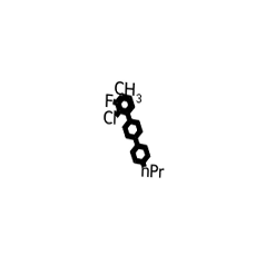 CCCC1CCC(C2CCC(c3ccc(C)c(F)c3Cl)CC2)CC1